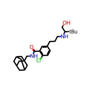 CC(C)(C)C(CO)NCCCc1ccc(Cl)c(C(=O)NCC23CC4CC(CC(C4)C2)C3)c1